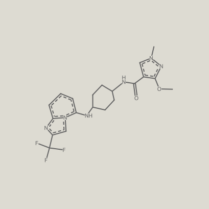 COc1nn(C)cc1C(=O)NC1CCC(Nc2cccc3nc(C(F)(F)F)cn23)CC1